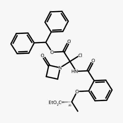 CCOC(=O)[C@@H](C)Oc1ccccc1C(=O)NC(Cl)(C(=O)OC(c1ccccc1)c1ccccc1)N1CCC1=O